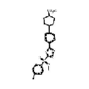 CCOC(=O)C1CCC(c2ccc(-c3nsc(S(=O)(=PC)c4ccc(C)cc4)n3)cc2)CC1